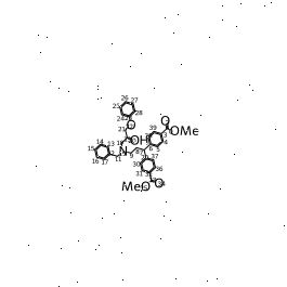 COC(=O)c1ccc(C(CCN(Cc2ccccc2)C[C@H](O)COc2ccccc2)c2ccc(C(=O)OC)cc2)cc1